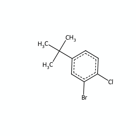 CC(C)(C)c1ccc(Cl)c(Br)c1